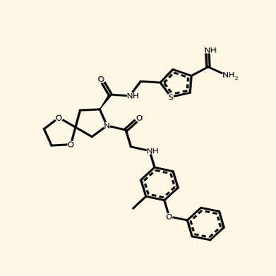 Cc1cc(NCC(=O)N2CC3(C[C@H]2C(=O)NCc2cc(C(=N)N)cs2)OCCO3)ccc1Oc1ccccc1